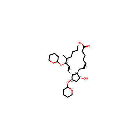 CCCC[C@H](C)[C@@H](/C=C/[C@@H]1[C@@H](C/C=C\CCCC(=O)O)[C@@H](O)C[C@H]1OC1CCCCO1)OC1CCCCO1